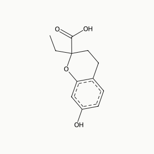 CCC1(C(=O)O)CCc2ccc(O)cc2O1